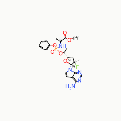 CC(C)OC(=O)[C@H](C)NP(=O)(Oc1ccccc1)OC(C)[C@@H]1C[C@@](C)(F)[C@H](n2ccc3c(N)ncnc32)O1